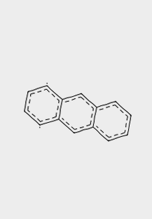 [c]1cc[c]c2cc3ccccc3cc12